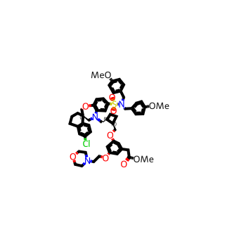 COC(=O)Cc1cc(OCCN2CCOCC2)cc(OC[C@@H]2CC[C@H]2CN2C[C@@]3(CCCc4cc(Cl)ccc43)COc3ccc(S(=O)(=O)N(Cc4ccc(OC)cc4)Cc4ccc(OC)cc4)cc32)c1